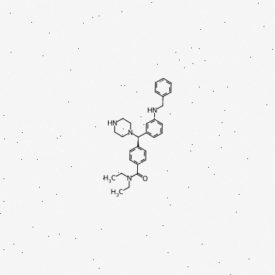 CCN(CC)C(=O)c1ccc([C@H](c2cccc(NCc3ccccc3)c2)N2CCNCC2)cc1